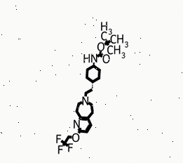 CC(C)(C)OC(=O)N[C@H]1CC[C@H](CCN2CCc3ccc(OCC(F)(F)F)nc3CC2)CC1